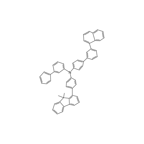 CC1(C)c2ccccc2-c2cccc(-c3ccc(N(c4ccc(-c5cccc(-c6cccc7ccccc67)c5)cc4)c4cccc(-c5ccccc5)c4)cc3)c21